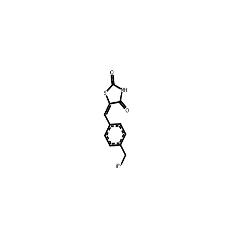 CC(C)Cc1ccc(C=C2SC(=O)NC2=O)cc1